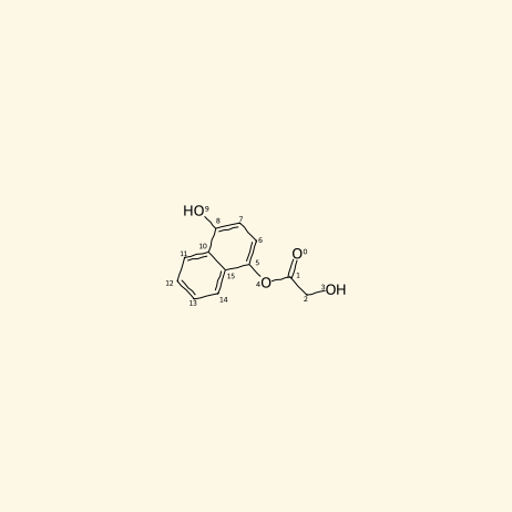 O=C(CO)Oc1ccc(O)c2ccccc12